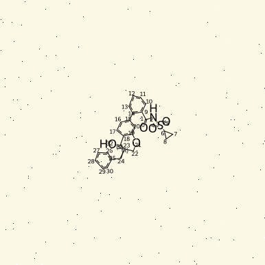 O=C(NS(=O)(=O)C1CC1)c1ccccc1-c1ccc2c(c1)OC[C@@H](Cc1ccccc1)[C@@H]2O